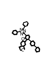 C1=CC(c2nc(-c3ccccc3)nc(-c3ccc(-c4ccc(-c5ccccc5)cc4)c4c3oc3cc5ccccc5cc34)n2)=CCC1